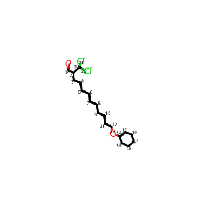 O=[C]C(CCCCCCCCCCOC1CC[CH]CC1)C(Cl)Cl